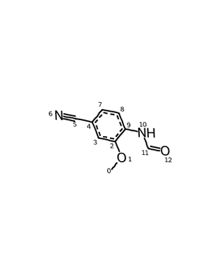 COc1cc(C#N)ccc1NC=O